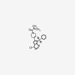 CN(C)C(=O)N1CC=C(c2cc3c(Cl)ncnc3n2S(=O)(=O)c2ccccc2)CC1